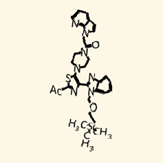 CC(=O)c1nc(-c2nc3ccccc3n2COCC[Si](C)(C)C)c(N2CCN(C(=O)Cn3ccc4cccnc43)CC2)s1